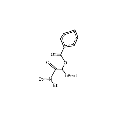 CCCCCC(OC(=O)c1ccccc1)C(=O)N(CC)CC